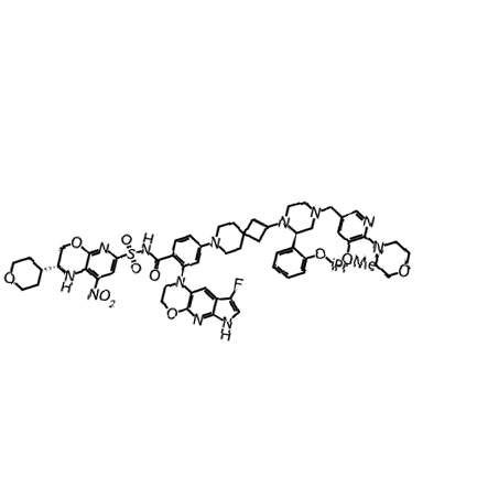 COc1cc(CN2CCN(C3CC4(CCN(c5ccc(C(=O)NS(=O)(=O)c6cc([N+](=O)[O-])c7c(n6)OC[C@@H](C6CCOCC6)N7)c(N6CCOc7nc8[nH]cc(F)c8cc76)c5)CC4)C3)[C@H](c3ccccc3OC(C)C)C2)cnc1N1CCOCC1